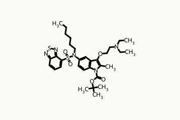 CCCCCCN(c1ccc2c(c1)c(OCCN(CC)CC)c(C)n2C(=O)OC(C)(C)C)S(=O)(=O)c1cccc2nsnc12